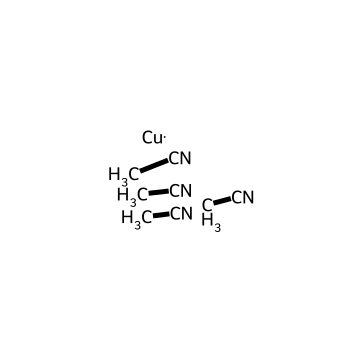 CC#N.CC#N.CC#N.CC#N.[Cu]